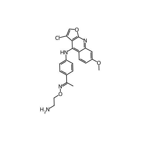 COc1ccc2c(Nc3ccc(C(C)=NOCCN)cc3)c3c(Cl)coc3nc2c1